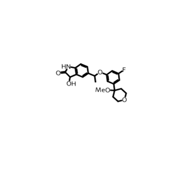 COC1(c2cc(F)cc(OC(C)c3ccc4c(c3)C(O)C(=O)N4)c2)CCOCC1